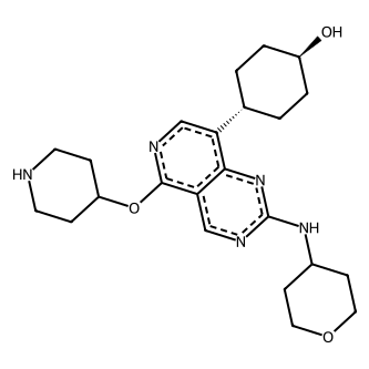 O[C@H]1CC[C@H](c2cnc(OC3CCNCC3)c3cnc(NC4CCOCC4)nc32)CC1